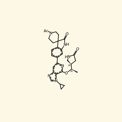 CC(=O)N1CCC2(CC1)C(=O)Nc1cc(-c3cc4ncn(C5CC5)c4c(O[C@H](C)[C@H]4CNC(=O)C4)n3)ccc12